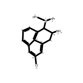 CCCN(CCC)C1c2cccc3cc(Cl)cc(c23)CC1N